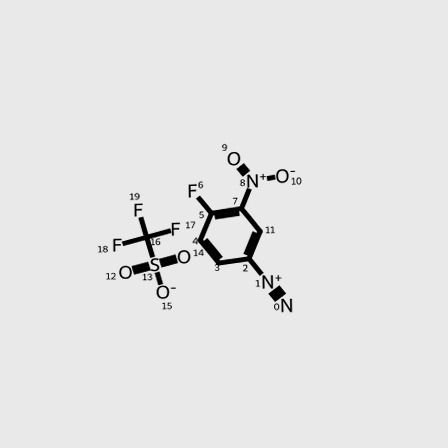 N#[N+]c1ccc(F)c([N+](=O)[O-])c1.O=S(=O)([O-])C(F)(F)F